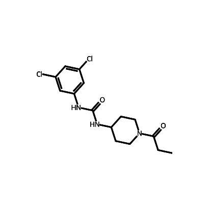 CCC(=O)N1CCC(NC(=O)Nc2cc(Cl)cc(Cl)c2)CC1